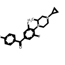 CC1CN(C2CC2)CCN1c1c(F)cc(C(=O)c2ccc(F)cc2)cc1F